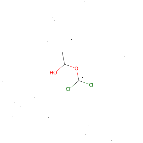 CC(O)OC(Cl)Cl